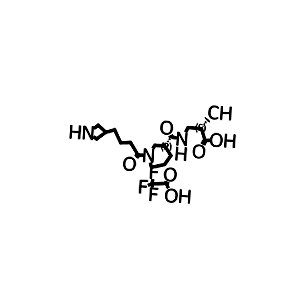 C#C[C@@H](CNC(=O)[C@@H]1CCCN(C(=O)CCCC2CNC2)C1)C(=O)O.O=C(O)C(F)(F)F